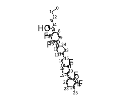 CCCCCC(O)c1ccc(C2=CCC(CCc3ccc(-c4ccc(C)c(F)c4F)cc3F)CC2)c(F)c1F